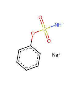 [NH-]S(=O)(=O)Oc1ccccc1.[Na+]